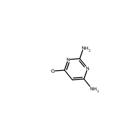 Nc1cc([O])nc(N)n1